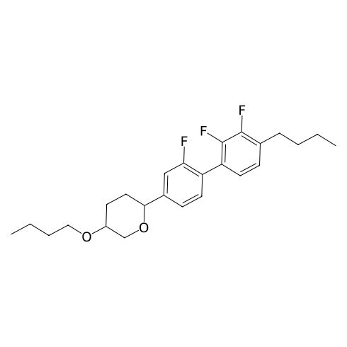 CCCCOC1CCC(c2ccc(-c3ccc(CCCC)c(F)c3F)c(F)c2)OC1